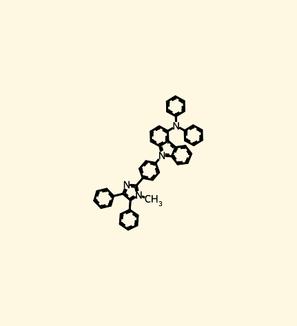 Cn1c(-c2ccc(-n3c4ccccc4c4c(N(c5ccccc5)c5ccccc5)cccc43)cc2)nc(-c2ccccc2)c1-c1ccccc1